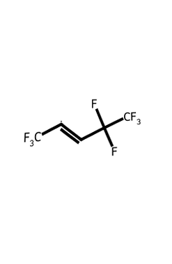 FC(F)(F)[C]=CC(F)(F)C(F)(F)F